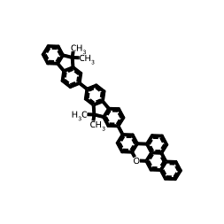 CC1(C)c2ccccc2-c2ccc(-c3ccc4c(c3)C(C)(C)c3cc(-c5ccc6c(c5)-c5cccc7c5c(cc5ccccc57)O6)ccc3-4)cc21